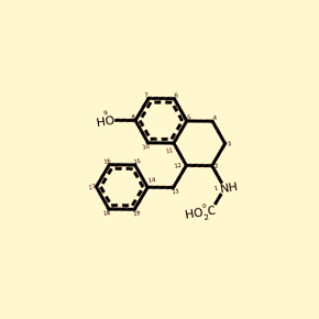 O=C(O)NC1CCc2ccc(O)cc2C1Cc1ccccc1